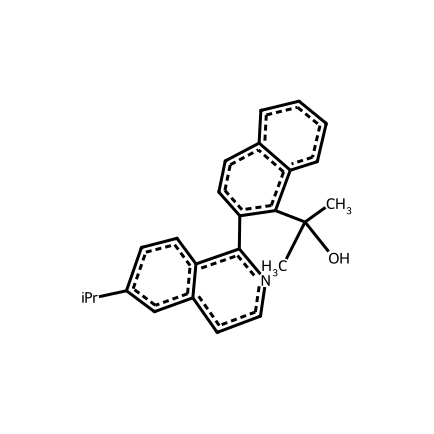 CC(C)c1ccc2c(-c3ccc4ccccc4c3C(C)(C)O)nccc2c1